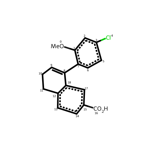 COc1cc(Cl)ccc1C1=CCCc2ccc(C(=O)O)cc21